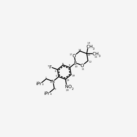 CC(C)CN(CC(C)C)c1c(F)cc(B2OCC(C)(C)CO2)cc1[N+](=O)[O-]